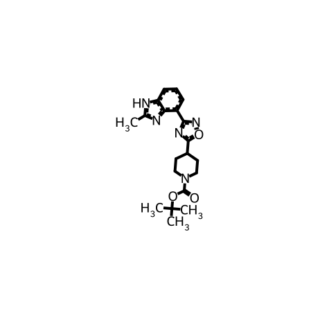 Cc1nc2c(-c3noc(C4CCN(C(=O)OC(C)(C)C)CC4)n3)cccc2[nH]1